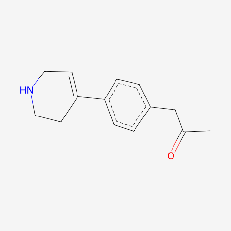 CC(=O)Cc1ccc(C2=CCNCC2)cc1